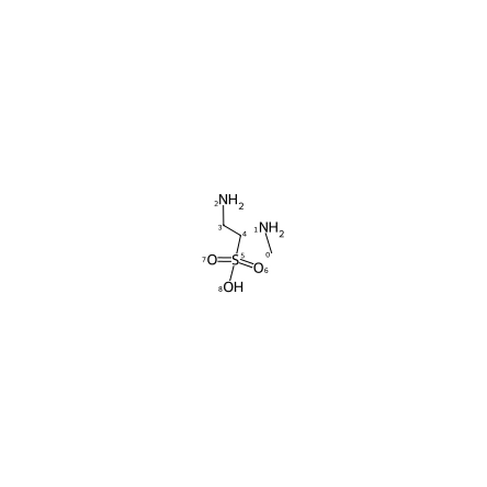 CN.NCCS(=O)(=O)O